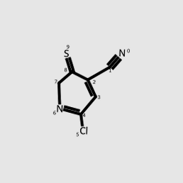 N#CC1=CC(Cl)=NCC1=S